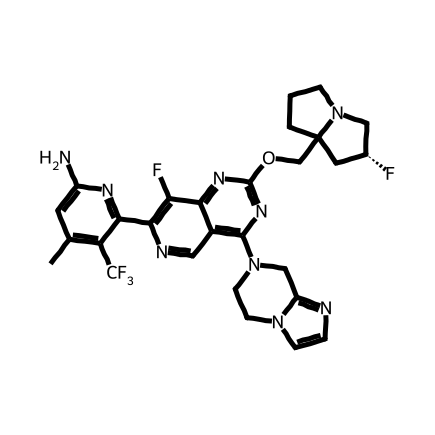 Cc1cc(N)nc(-c2ncc3c(N4CCn5ccnc5C4)nc(OCC45CCCN4C[C@H](F)C5)nc3c2F)c1C(F)(F)F